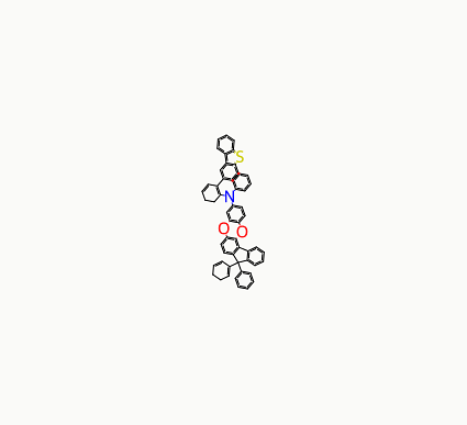 C1=CC(C2(c3ccccc3)c3ccccc3-c3c2ccc2c3Oc3ccc(N(C4=C(c5ccc6sc7ccccc7c6c5)C=CCC4)c4ccccc4)cc3O2)=CCC1